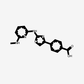 CNc1cccc(Nc2nc(-c3ccc(C(=O)O)cc3)cs2)n1